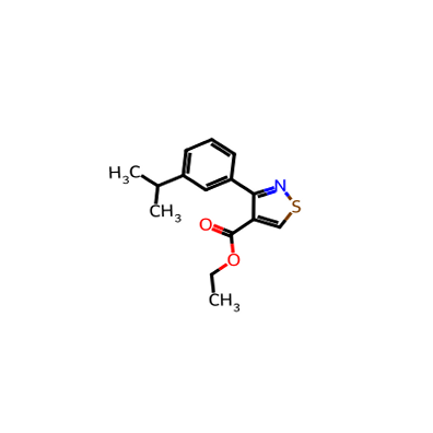 CCOC(=O)c1csnc1-c1cccc(C(C)C)c1